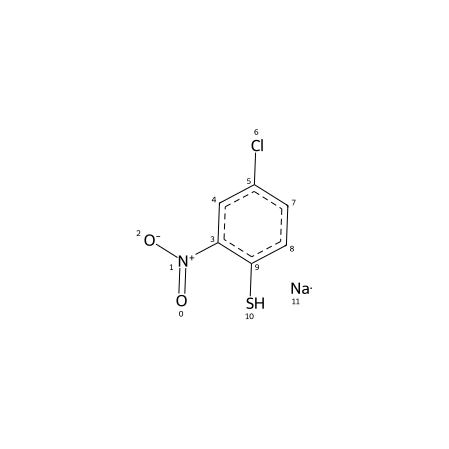 O=[N+]([O-])c1cc(Cl)ccc1S.[Na]